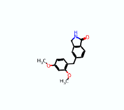 COc1ccc(Cc2ccc3c(c2)CNC3=O)c(OC)c1